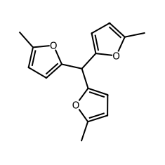 Cc1ccc(C(c2ccc(C)o2)c2ccc(C)o2)o1